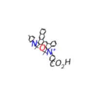 Cc1ccc(N2CC(C)(C)c3c4c(c5cc6ccccc6cc5c32)C=c2c(c3c(c5ccccc25)=[N+](Cc2ccc(C(=O)O)cc2)CC3(C)C)O4)cc1